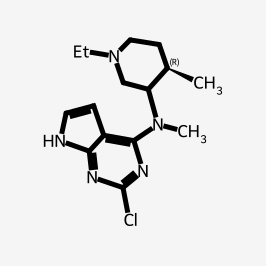 CCN1CC[C@@H](C)C(N(C)c2nc(Cl)nc3[nH]ccc23)C1